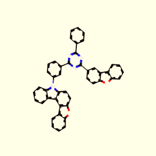 c1ccc(-c2nc(-c3cccc(-n4c5ccccc5c5c6c(ccc54)oc4ccccc46)c3)nc(-c3ccc4oc5ccccc5c4c3)n2)cc1